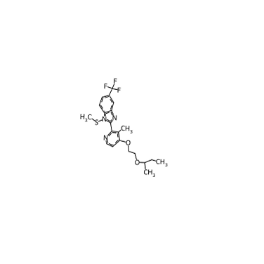 CCC(C)OCCOc1ccnc(-c2nc3cc(C(F)(F)F)ccc3n2SC)c1C